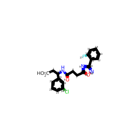 O=C(O)CC(NC(=O)CCc1nc(-c2ccccc2F)no1)c1cccc(Cl)c1